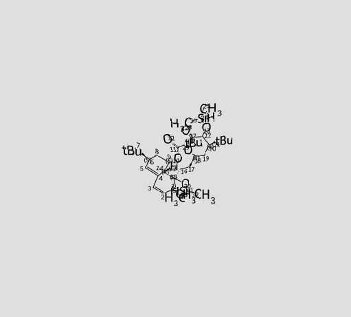 C[C@H]1C=CC2=C[C@@H](C(C)(C)C)C[C@H](OC(=O)C(C)(C)C)[C@@H]2[C@@]1(CC[C@@H]1C[C@H](C(C)(C)C)C(O[SiH](C)C)C(=O)O1)O[SiH](C)C